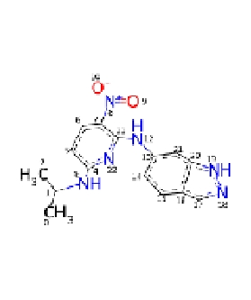 CC(C)Nc1ccc([N+](=O)[O-])c(Nc2ccc3cn[nH]c3c2)n1